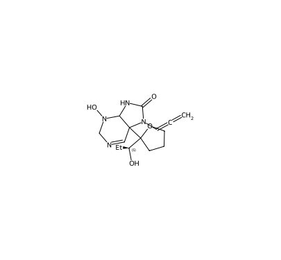 C=C=CN1C(=O)NC2N(O)CN=CC21C1([C@@H](O)CC)CCCO1